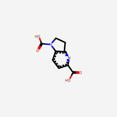 O=C(O)c1ccc2c(n1)CCN2C(=O)O